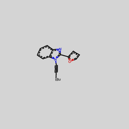 CC(C)(C)C#Cn1c(-c2ccco2)nc2ccccc21